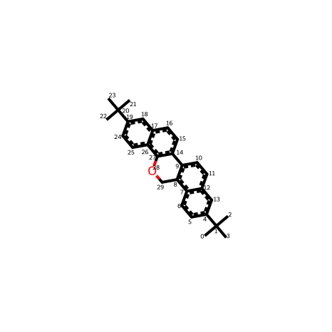 CC(C)(C)c1ccc2c3c(ccc2c1)-c1ccc2cc(C(C)(C)C)ccc2c1OC3